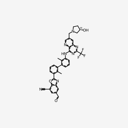 Cc1c(Nc2nc(C(F)(F)F)nc3cc(CN4CC[C@@H](O)C4)cnc23)cccc1-c1cccc(-c2nc3cc(C=O)cc(C#N)c3o2)c1C